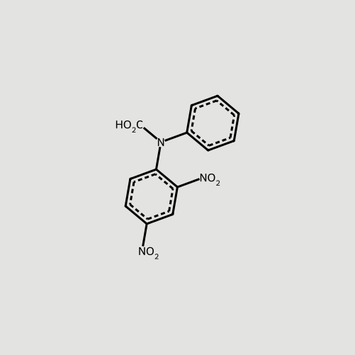 O=C(O)N(c1ccccc1)c1ccc([N+](=O)[O-])cc1[N+](=O)[O-]